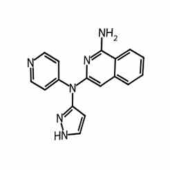 Nc1nc(N(c2ccncc2)c2cc[nH]n2)cc2ccccc12